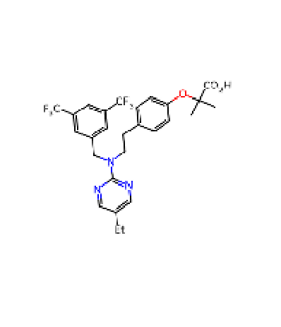 CCc1cnc(N(CCc2ccc(OC(C)(C)C(=O)O)cc2)Cc2cc(C(F)(F)F)cc(C(F)(F)F)c2)nc1